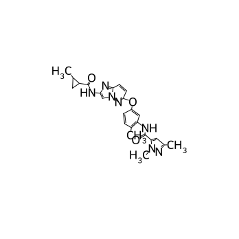 Cc1cc(C(=O)Nc2cc(Oc3ccc4nc(NC(=O)C5CC5C)cn4n3)ccc2C)n(C)n1